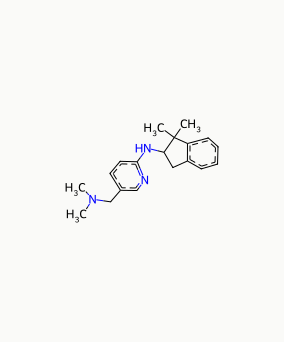 CN(C)Cc1ccc(NC2Cc3ccccc3C2(C)C)nc1